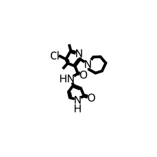 Cc1nc(N2CCCCCC2)c(C(=O)Nc2cc[nH]c(=O)c2)c(C)c1Cl